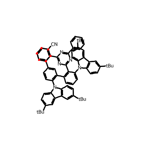 CC(C)(C)c1ccc2c(c1)c1cc(C(C)(C)C)ccc1n2-c1ccc(-c2cccc(C#N)c2)cc1-c1cccc(-n2c3ccc(C(C)(C)C)cc3c3cc(C(C)(C)C)ccc32)c1-c1nc(-c2ccccc2)nc(-c2ccccc2)n1